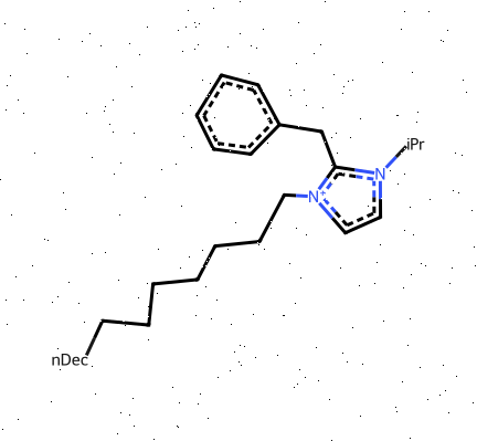 CCCCCCCCCCCCCCCCC[n+]1ccn(C(C)C)c1Cc1ccccc1